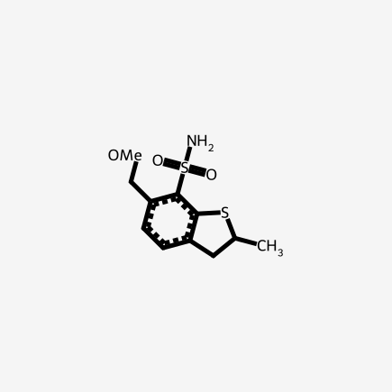 COCc1ccc2c(c1S(N)(=O)=O)SC(C)C2